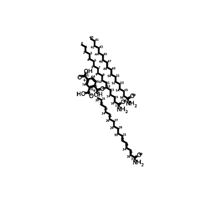 CCCCCCCCCCCCCCCCCC(N)=O.CCCCCCCCCCCCCCCCCC(N)=O.CCCCCCCCCCCCCCCCCC(N)=O.O=C(O)c1ccc(C(=O)O)c(C(=O)O)c1